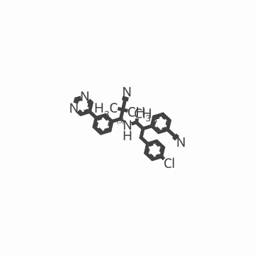 CC(N[C@@H](c1cccc(-c2cncnc2)c1)C(C)(C)C#N)C(Cc1ccc(Cl)cc1)c1cccc(C#N)c1